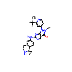 CC(C)n1c(=O)c2cnc(Nc3ccc4c(c3)CCNC43CC3)nc2n1-c1ccnc(C(C)(C)C#N)c1